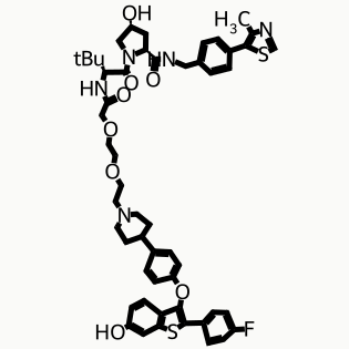 Cc1ncsc1-c1ccc(CNC(=O)[C@@H]2C[C@@H](O)CN2C(=O)[C@@H](NC(=O)COCCOCCN2CCC(c3ccc(Oc4c(-c5ccc(F)cc5)sc5cc(O)ccc45)cc3)CC2)C(C)(C)C)cc1